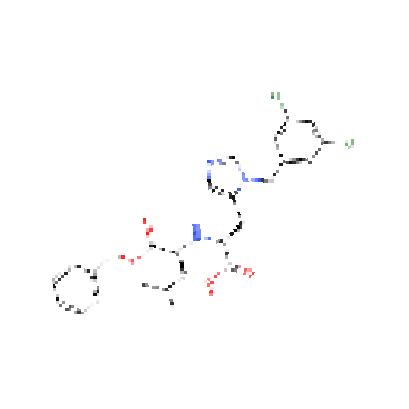 COC(=O)[C@H](Cc1cncn1Cc1cc(Cl)cc(Cl)c1)N[C@@H](CC(C)C)C(=O)OCc1ccccc1